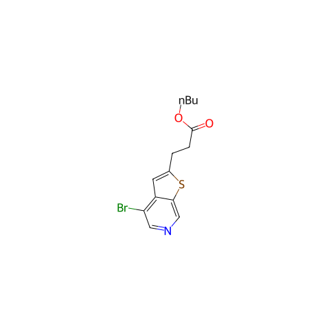 CCCCOC(=O)CCc1cc2c(Br)cncc2s1